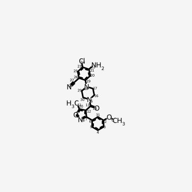 COc1cccc(-c2noc(C)c2C(=O)N2CCN(c3cc(N)c(Cl)cc3C#N)CC2)c1